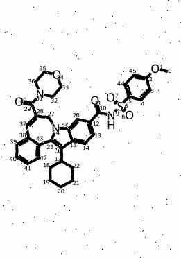 COc1ccc(S(=O)(=O)NC(=O)c2ccc3c(C4CCCCC4)c4n(c3c2)CC(C(=O)N2CCOCC2)=Cc2ccccc2-4)cc1